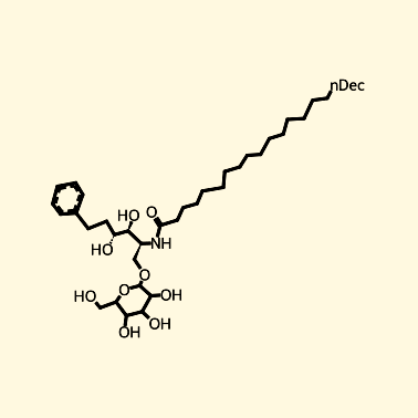 CCCCCCCCCCCCCCCCCCCCCCCCCC(=O)N[C@@H](COC1OC(CO)C(O)C(O)C1O)[C@H](O)[C@H](O)CCc1ccccc1